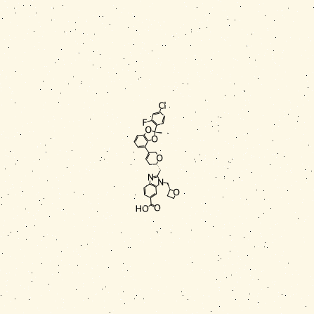 C[C@]1(c2ccc(Cl)cc2F)Oc2cccc(C3=CC[C@@H](Cc4nc5ccc(C(=O)O)cc5n4C[C@@H]4CCO4)OC3)c2O1